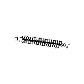 O=S(=O)(O)C(Cl)(Cl)C(Cl)(Cl)C(Cl)(Cl)C(Cl)(Cl)C(Cl)(Cl)C(Cl)(Cl)C(Cl)(Cl)C(Cl)(Cl)C(Cl)(Cl)C(Cl)(Cl)C(Cl)(Cl)C(Cl)(Cl)C(Cl)(Cl)C(Cl)(Cl)C(Cl)(Cl)C(Cl)(Cl)C(Cl)(Cl)C(Cl)(Cl)C(Cl)(Cl)C(Cl)(Cl)Cl